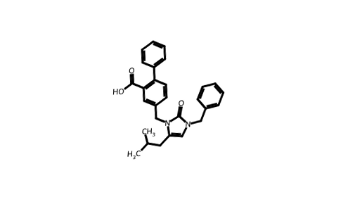 CC(C)Cc1cn(Cc2ccccc2)c(=O)n1Cc1ccc(-c2ccccc2)c(C(=O)O)c1